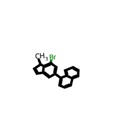 CC1C=Cc2cc(-c3cccc4ccccc34)cc(Br)c21